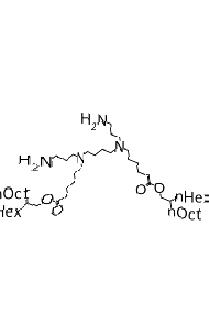 CCCCCCCCC(CCCCCC)COC(=O)CCCCCN(CCCN)CCCCN(CCCN)CCCCCC(=O)OCC(CCCCCC)CCCCCCCC